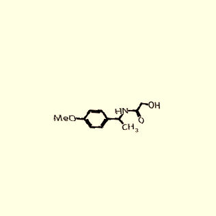 COc1ccc(C(C)NC(=O)CO)cc1